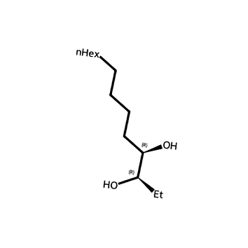 CCCCCCCCCC[C@@H](O)[C@H](O)CC